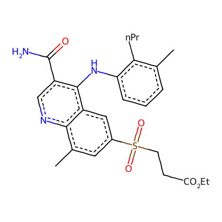 CCCc1c(C)cccc1Nc1c(C(N)=O)cnc2c(C)cc(S(=O)(=O)CCC(=O)OCC)cc12